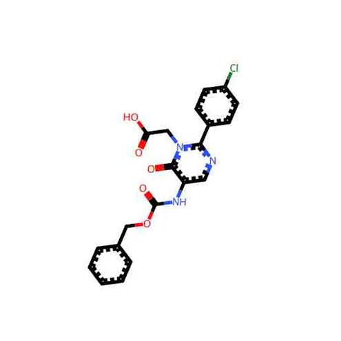 O=C(O)Cn1c(-c2ccc(Cl)cc2)ncc(NC(=O)OCc2ccccc2)c1=O